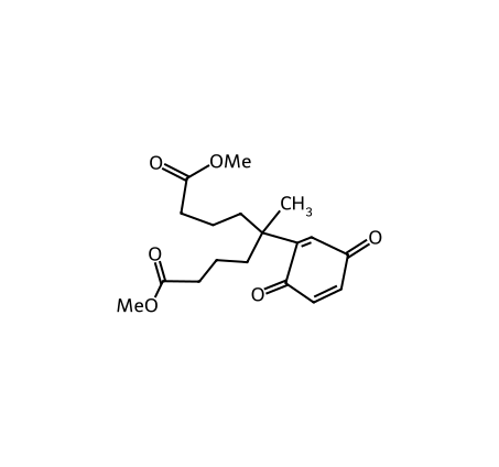 COC(=O)CCCC(C)(CCCC(=O)OC)C1=CC(=O)C=CC1=O